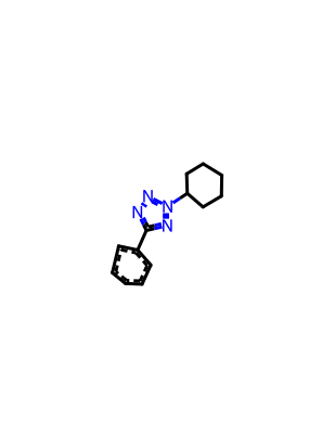 c1ccc(-c2nnn(C3CCCCC3)n2)cc1